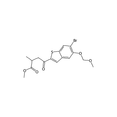 COCOc1cc2cc(C(=O)CC(C)C(=O)OC)sc2cc1Br